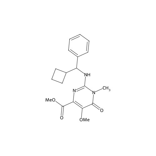 COC(=O)c1nc(NC(c2ccccc2)C2CCC2)n(C)c(=O)c1OC